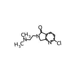 CN(C)CCN1Cc2nc(Cl)ccc2C1=O